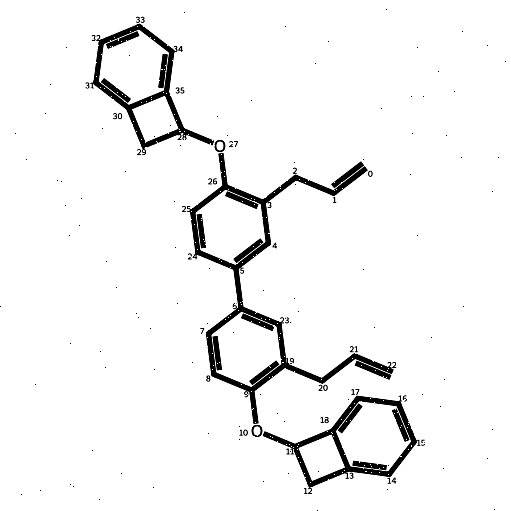 C=CCc1cc(-c2ccc(OC3Cc4ccccc43)c(CC=C)c2)ccc1OC1Cc2ccccc21